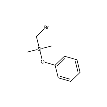 C[Si](C)(CBr)Oc1ccccc1